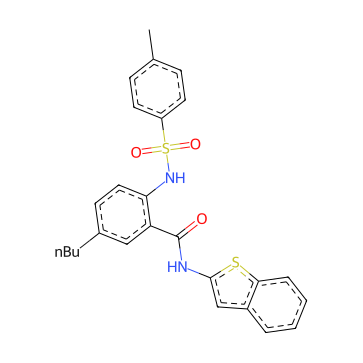 CCCCc1ccc(NS(=O)(=O)c2ccc(C)cc2)c(C(=O)Nc2cc3ccccc3s2)c1